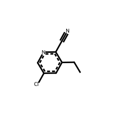 CCc1cc(Cl)cnc1C#N